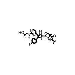 CC(C)NC(=O)C1(C)COC(c2nc(-c3ccc(F)cc3)c(-c3ccnc(NCC(=O)O)n3)[nH]2)OC1